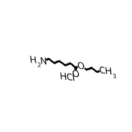 CCCCOC(=O)CCCCCN.Cl